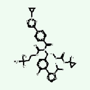 CC(C)(CCNC(=N)N(C(=O)c1ccc(-c2cnn(C3CC3)n2)cc1)[C@H](COC(=O)NC1(C(F)(F)F)CC1)c1ccc(Cl)c(-c2ncnn2C(F)F)c1)C(F)(F)F